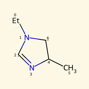 CCN1[C]=NC(C)[CH]1